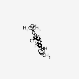 C[C@@H]1CCOC(Nc2cc(F)c(Oc3ccnc4c3c(Cl)cn4COCC[Si](C)(C)C)c(F)c2)=N1